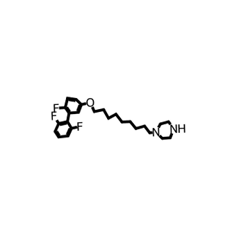 Fc1ccc(OCCCCCCCCCN2CCNCC2)cc1-c1c(F)cccc1F